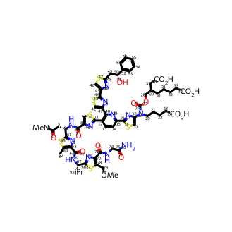 CNC(=O)C[C@H](NC(=O)c1csc(-c2ccc(-c3nc(N(CCCCC(=O)O)C(=O)OCC(CCCCC(=O)O)CC(=O)O)cs3)nc2-c2csc(-c3csc(C[C@@H](O)c4ccccc4)n3)n2)n1)c1nc(C(=O)N[C@H](c2nc(C(=O)NCC(N)=O)c(COC)s2)C(C)C)c(C)s1